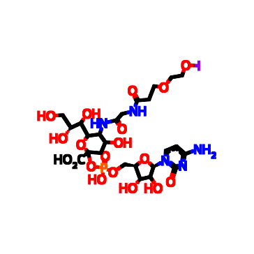 Nc1ccn([C@@H]2O[C@H](COP(=O)(O)OC3(C(=O)O)CC(O)C(NC(=O)CNC(=O)CCOCCOI)C(C(O)[C@H](O)CO)O3)[C@H](O)C2O)c(=O)n1